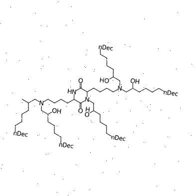 CCCCCCCCCCCCCCC(C)CN(CCCCC1NC(=O)C(CCCCN(CC(O)CCCCCCCCCCCCCC)CC(O)CCCCCCCCCCCCCC)N(CC(O)CCCCCCCCCCCCCC)C1=O)CC(O)CCCCCCCCCCCCCC